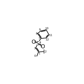 CC(I)=CS(=O)(=O)c1ccccc1